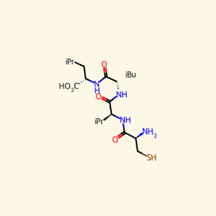 CC[C@H](C)[C@H](NC(=O)[C@@H](NC(=O)[C@@H](N)CS)C(C)C)C(=O)N[C@@H](CC(C)C)C(=O)O